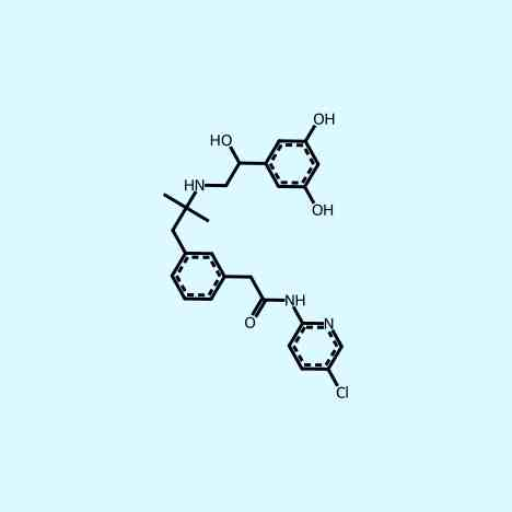 CC(C)(Cc1cccc(CC(=O)Nc2ccc(Cl)cn2)c1)NCC(O)c1cc(O)cc(O)c1